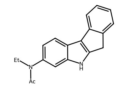 CCN(C(C)=O)c1ccc2c3c([nH]c2c1)Cc1ccccc1-3